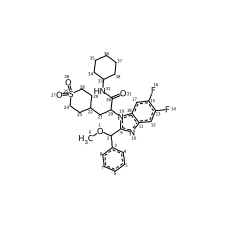 COC(c1ccccc1)c1nc2cc(F)c(F)cc2n1C(CC1CCS(=O)(=O)CC1)C(=O)NC1CCCCC1